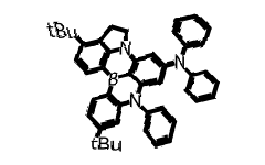 CC(C)(C)c1ccc2c(c1)N(c1ccccc1)c1cc(N(c3ccccc3)c3ccccc3)cc3c1B2c1ccc(C(C)(C)C)c2c1N3CC2